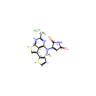 Cc1nc(N(C)C2=CC(=O)NC2=O)c2c(-c3cccs3)csc2n1.Cl